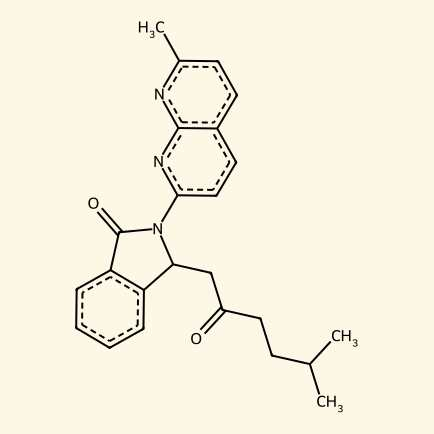 Cc1ccc2ccc(N3C(=O)c4ccccc4C3CC(=O)CCC(C)C)nc2n1